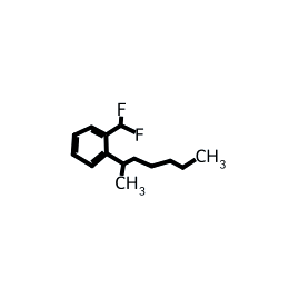 CCCCCC(C)c1ccccc1C(F)F